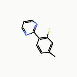 Cc1ccc(-c2ncccn2)c(F)c1